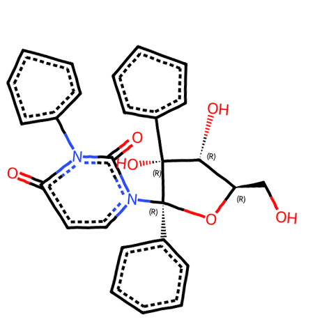 O=c1ccn([C@]2(c3ccccc3)O[C@H](CO)[C@@H](O)[C@]2(O)c2ccccc2)c(=O)n1-c1ccccc1